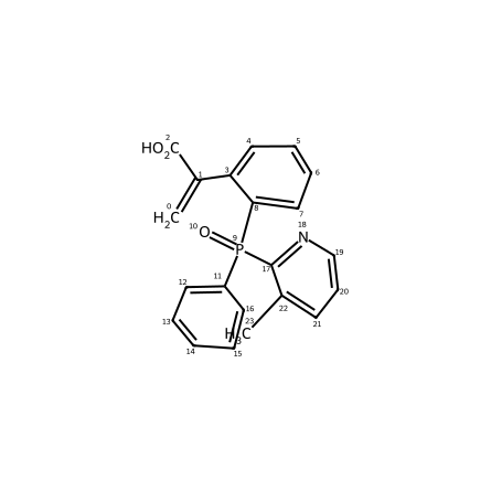 C=C(C(=O)O)c1ccccc1P(=O)(c1ccccc1)c1ncccc1C